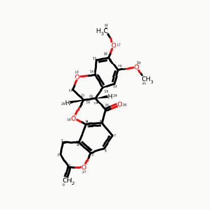 C=C1CCc2c(ccc3c2O[C@@H]2COc4cc(OC)c(OC)cc4[C@@H]2C3=O)O1